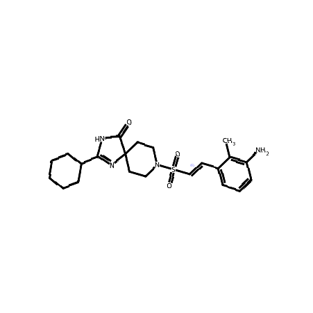 Cc1c(N)cccc1/C=C/S(=O)(=O)N1CCC2(CC1)N=C(C1CCCCC1)NC2=O